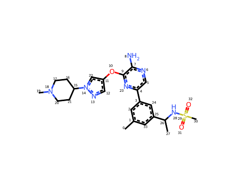 Cc1cc(-c2cnc(N)c(Oc3cnn(C4CCN(C)CC4)c3)n2)cc(C(C)NS(C)(=O)=O)c1